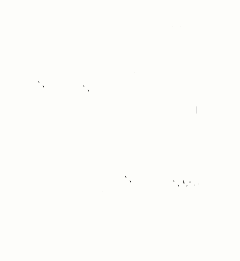 CNc1cccc(CCCc2noc(CC(CC(=O)O)c3cccc(F)c3)n2)n1